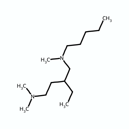 CCCCCN(C)CC(CC)CCN(C)C